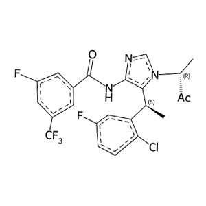 CC(=O)[C@@H](C)n1cnc(NC(=O)c2cc(F)cc(C(F)(F)F)c2)c1[C@@H](C)c1cc(F)ccc1Cl